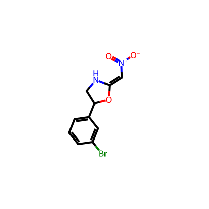 O=[N+]([O-])/C=C1\NCC(c2cccc(Br)c2)O1